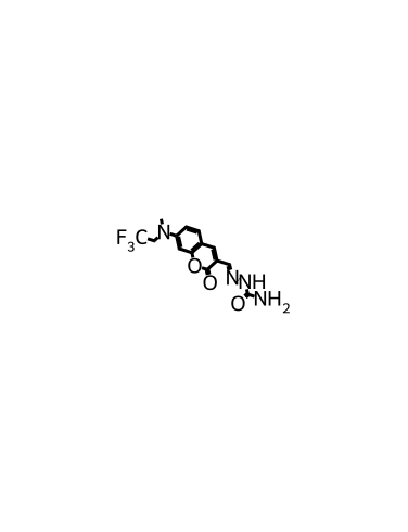 CN(CC(F)(F)F)c1ccc2cc(/C=N/NC(N)=O)c(=O)oc2c1